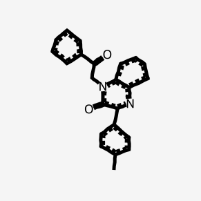 Cc1ccc(-c2nc3ccccc3n(CC(=O)c3ccccc3)c2=O)cc1